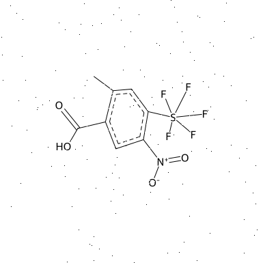 Cc1cc(S(F)(F)(F)(F)F)c([N+](=O)[O-])cc1C(=O)O